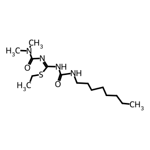 CCCCCCCCNC(=O)NC(=NC(=O)N(C)C)SCC